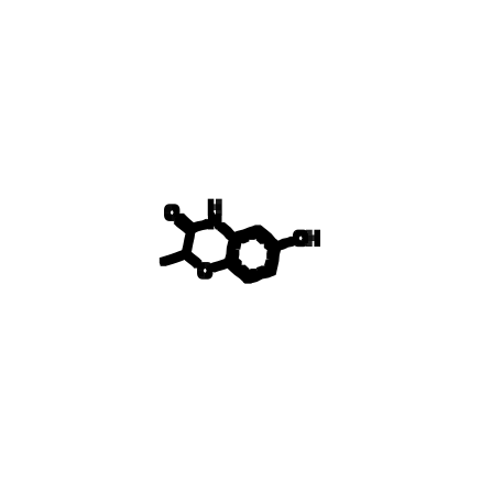 CC1Oc2ccc(O)cc2NC1=O